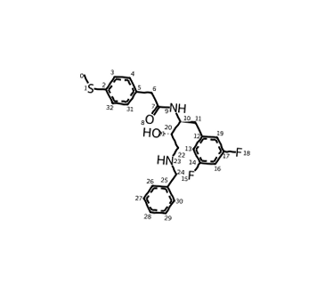 CSc1ccc(CC(=O)N[C@@H](Cc2cc(F)cc(F)c2)[C@@H](O)CNCc2ccccc2)cc1